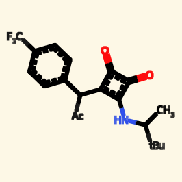 CC(=O)C(c1ccc(C(F)(F)F)cc1)c1c(NC(C)C(C)(C)C)c(=O)c1=O